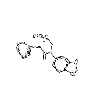 CCOC(=O)CC(NCc1ccccc1)c1ccc2c(c1)OCO2